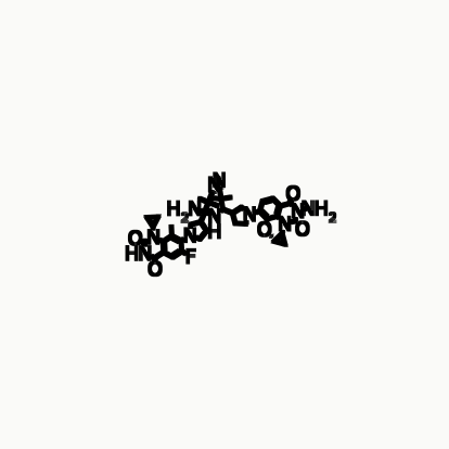 COc1c(N2CCC(C(NC(N)(C3CCN(c4c(F)cc5c(=O)[nH]c(=O)n(C6CC6)c5c4C)C3)C(C)(C)C#N)C(C)(C)C#N)C2)ccc2c(=O)n(N)c(=O)n(C3CC3)c12